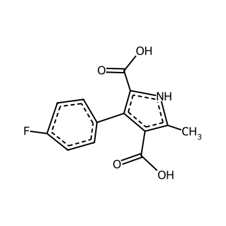 Cc1[nH]c(C(=O)O)c(-c2ccc(F)cc2)c1C(=O)O